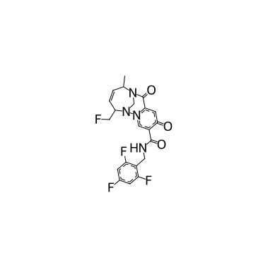 CC1C=CC(CF)N2CN1C(=O)c1cc(=O)c(C(=O)NCc3c(F)cc(F)cc3F)cn12